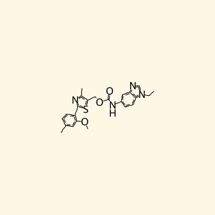 CCn1cnc2cc(NC(=O)OCc3sc(-c4ccc(C)cc4OC)nc3C)ccc21